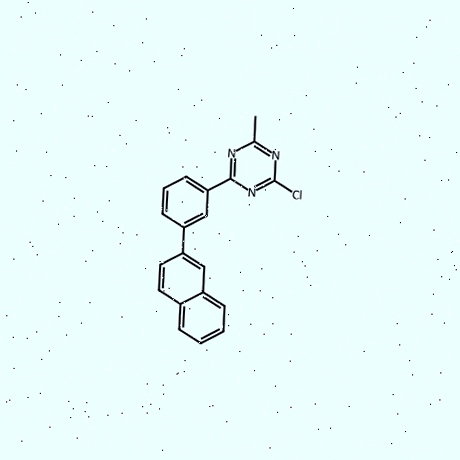 Cc1nc(Cl)nc(-c2cccc(-c3ccc4ccccc4c3)c2)n1